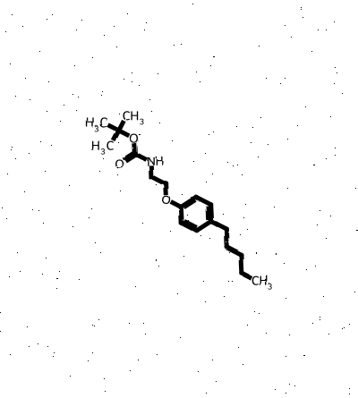 CCCCCc1ccc(OCCNC(=O)OC(C)(C)C)cc1